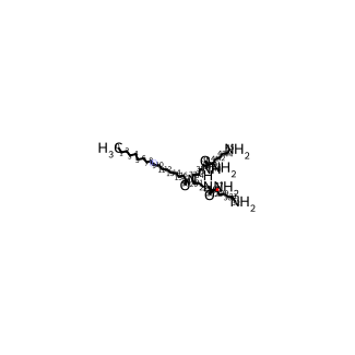 CCCCCCCC/C=C/CCCCCCCC(=O)N(CCCNC(=O)[C@@H](N)CCCCN)CCCNC(=O)[C@@H](N)CCCCN